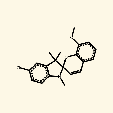 COc1cccc2c1OC1(C=C2)N(C)c2ccc(Cl)cc2C1(C)C